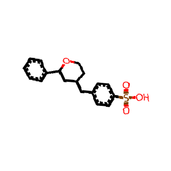 O=S(=O)(O)c1ccc(CC2CCOC(c3ccccc3)C2)cc1